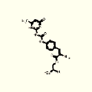 CCCCC(CC)COC(=O)/C(N)=C\c1ccc(NC(=O)Nc2nc(=O)cc(C)[nH]2)cc1